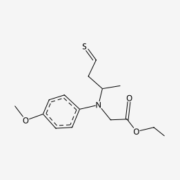 CCOC(=O)CN(c1ccc(OC)cc1)C(C)CC=S